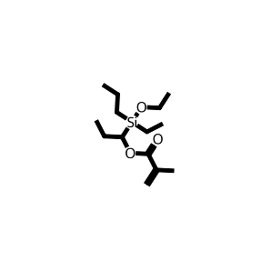 C=C(C)C(=O)OC(CC)[Si](CC)(CCC)OCC